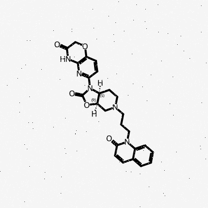 O=C1COc2ccc(N3C(=O)O[C@@H]4CN(CCCn5c(=O)ccc6ccccc65)CC[C@@H]43)nc2N1